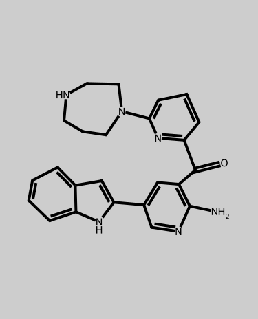 Nc1ncc(-c2cc3ccccc3[nH]2)cc1C(=O)c1cccc(N2CCCNCC2)n1